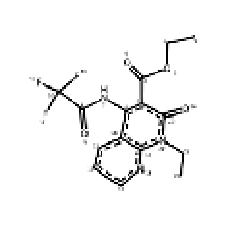 CCOC(=O)c1c(NC(=O)C(F)(F)F)c2cccnc2n(CC)c1=O